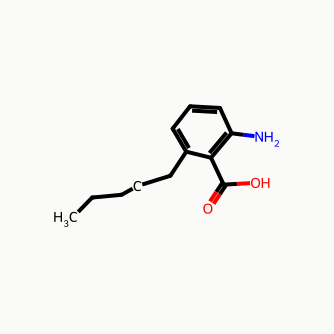 CCCCCc1cccc(N)c1C(=O)O